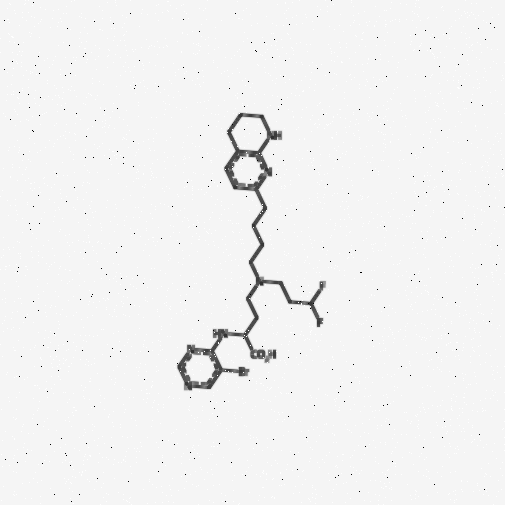 O=C(O)C(CCN(CCCCc1ccc2c(n1)NCCC2)CCC(F)F)Nc1ncncc1Br